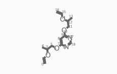 C=COC(C)COc1cc(OCC(C)OC=C)ncn1